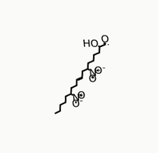 CCCCCC(CC/C=C/CC(CCCCC(O)[C]=O)[N+](=O)[O-])[N+](=O)[O-]